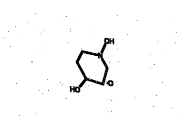 OC1CCN(O)CC1.[O]